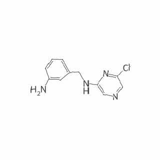 Nc1cccc(CNc2cncc(Cl)n2)c1